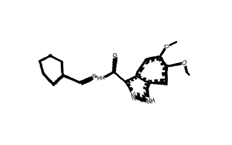 COc1cc2[nH]nc(C(=O)NN=CC3CCCCC3)c2cc1OC